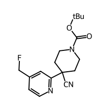 CC(C)(C)OC(=O)N1CCC(C#N)(c2cc(CF)ccn2)CC1